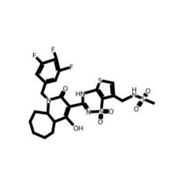 CS(=O)(=O)NCc1csc2c1S(=O)(=O)N=C(C1=C(O)C3CCCCCC3N(Cc3cc(F)c(F)c(F)c3)C1=O)N2